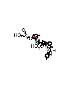 Cc1ccc2sc(Nc3nnc4c(c3C)CCCN4c3ccc(-c4cnn(CC56CC7(C)CC(C)(C5)CC(OCCN(CCCO)CCCO)(C7)C6)c4C)c(C(=O)O)n3)nc2c1